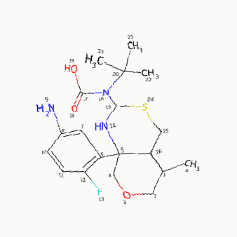 CC1COCC2(c3cc(N)ccc3F)NC(N(C(=O)O)C(C)(C)C)SCC12